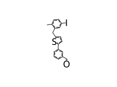 Cc1ccc(I)cc1Cc1ccc(-c2cccc(C=O)c2)s1